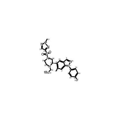 Cc1cc2c(cnn2-c2ccc(F)cc2)cc1[C@@H]1CN(S(=O)(=O)c2cnn(C)n2)CCN1CC(C)(C)C